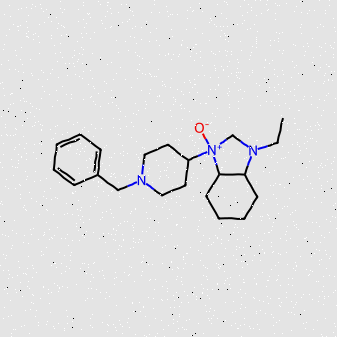 CCN1C[N+]([O-])(C2CCN(Cc3ccccc3)CC2)C2CCCCC21